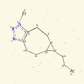 CCn1nnc2c1CCC1C(CCC(C)=O)C1CC2